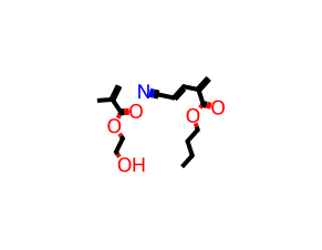 C=C(C)C(=O)OCCO.C=C(C=CC#N)C(=O)OCCCC